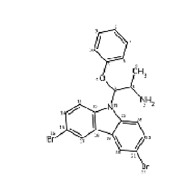 CC(N)C(Oc1ccccc1)n1c2ccc(Br)cc2c2cc(Br)ccc21